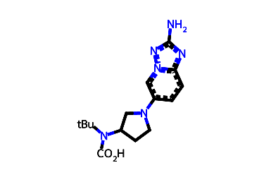 CC(C)(C)N(C(=O)O)C1CCN(c2ccc3nc(N)nn3c2)C1